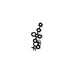 CC1=Nc2cccc3c2C1Cc1ccc(-c2c4c(c(-c5ccc(-c6ccccc6)cc5)c5ccccc25)CC=CC=C4)cc1S3(=O)=O